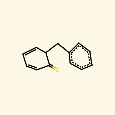 S=C1[C]=CC=CC1Cc1ccccc1